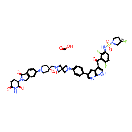 O=C1CCC(N2Cc3cc(N4CCC(O)(CN5CC6(C5)CN(c5ccc(-c7cnc8[nH]cc(C(=O)c9c(F)ccc(NS(=O)(=O)N%10CC[C@@H](F)C%10)c9F)c8c7)cc5)C6)CC4)ccc3C2=O)C(=O)N1.O=CO